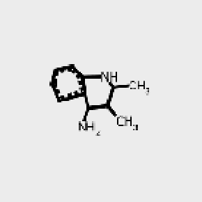 CC1Nc2ccccc2C(N)C1C